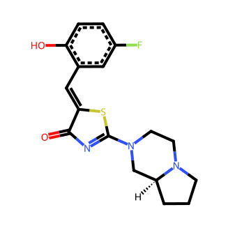 O=C1N=C(N2CCN3CCC[C@H]3C2)S/C1=C\c1cc(F)ccc1O